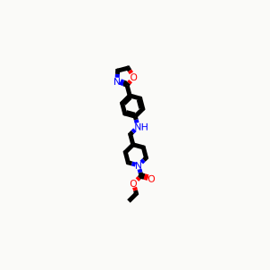 CCOC(=O)N1CCC(CNc2ccc(C3=NCCO3)cc2)CC1